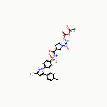 Cc1ccc(-c2cc(C(F)(F)F)nn2-c2ccc(S(=O)(=O)NC(=O)C3CCN(/[N+]([O-])=N\OC(C)OC(=O)C(C)C)C3)cc2)cc1